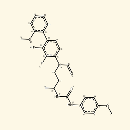 COc1ccc(NC(=O)NC(C)CCN(C=O)c2ccc(-c3ccccc3SC)c(F)c2F)cc1